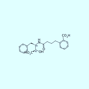 O=C(CCCc1ccccc1C(=O)O)N[C@H](Cc1ccccc1)[C@@H](O)C(=O)O